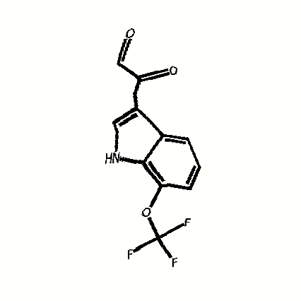 O=CC(=O)c1c[nH]c2c(OC(F)(F)F)cccc12